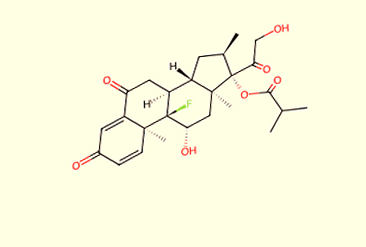 CC(C)C(=O)O[C@@]1(C(=O)CO)[C@H](C)C[C@H]2[C@@H]3CC(=O)C4=CC(=O)C=C[C@]4(C)[C@@]3(F)[C@@H](O)C[C@@]21C